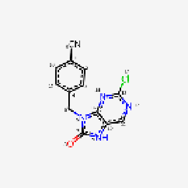 N#Cc1ccc(Cn2c(=O)[nH]c3cnc(Cl)nc32)cc1